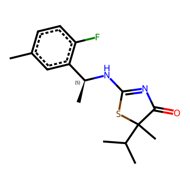 Cc1ccc(F)c([C@H](C)NC2=NC(=O)C(C)(C(C)C)S2)c1